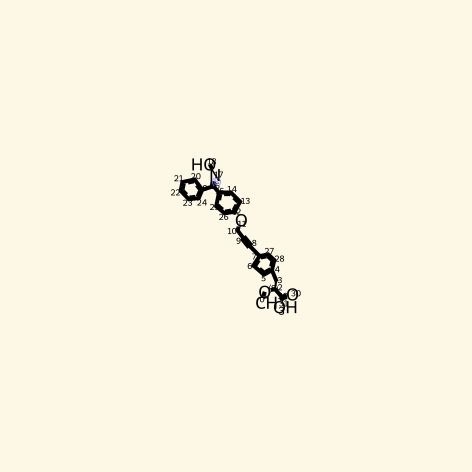 CO[C@@H](Cc1ccc(C#CCOc2ccc(/C(=N/O)c3ccccc3)cc2)cc1)C(=O)O